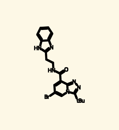 CC(C)(C)c1nnc2c(C(=O)NCCc3nc4ccccc4[nH]3)cc(Br)cn12